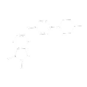 CC1CCN(c2ccc(Nc3ccc4c(c3)CN(C)C4=N)cc2)CC1